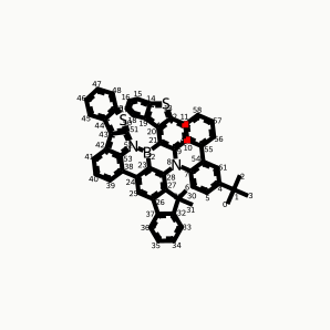 CC(C)(C)c1ccc(N2c3ccc4sc5ccccc5c4c3B3c4c(cc5c(c42)C(C)(C)c2ccccc2-5)-c2cccc4c5c6ccccc6sc5n3c24)c(-c2ccccc2)c1